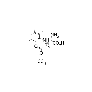 Cc1cc(C)c(C)c(N[C@@H](C)C(=O)OCC(Cl)(Cl)Cl)c1.NCC(=O)O